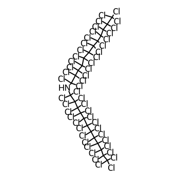 ClC(Cl)(Cl)C(Cl)(Cl)C(Cl)(Cl)C(Cl)(Cl)C(Cl)(Cl)C(Cl)(Cl)C(Cl)(Cl)C(Cl)(Cl)C(Cl)(Cl)C(Cl)(Cl)C(Cl)(Cl)C(Cl)(Cl)NC(Cl)(Cl)C(Cl)(Cl)C(Cl)(Cl)C(Cl)(Cl)C(Cl)(Cl)C(Cl)(Cl)C(Cl)(Cl)C(Cl)(Cl)C(Cl)(Cl)C(Cl)(Cl)C(Cl)(Cl)C(Cl)(Cl)Cl